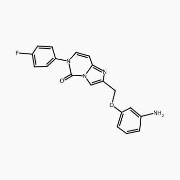 Nc1cccc(OCc2cn3c(=O)n(-c4ccc(F)cc4)ccc3n2)c1